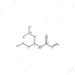 C=CC(=O)OC(CCC)CC(C)C